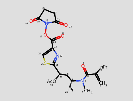 C=C(CCC)C(=O)N(C)[C@H](C[C@@H](OC(C)=O)c1nc(C(=O)ON2C(=O)CCC2=O)cs1)C(C)C